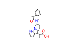 CC(C(=O)O)c1c2n(c3ncccc13)C[C@H](N(C)C(=O)[C@@H](C)c1ccccc1)CC2